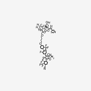 CC(C)(C)[C@H](NC(=O)COCCCCOc1ccc(-c2ncc(N3C(=S)N(c4ccc(C#N)c(C(F)(F)F)c4F)C(=O)C3(C)C)cc2F)c(C(F)(F)F)c1)C(=O)N1C[C@H](O)C[C@H]1C(=O)Nc1cncs1